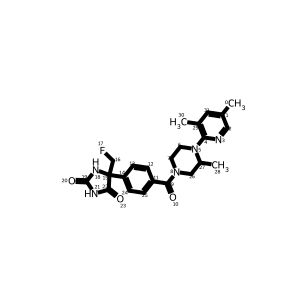 Cc1cnc(N2CCN(C(=O)c3ccc(C4(CF)NC(=O)NC4=O)cc3)CC2C)c(C)c1